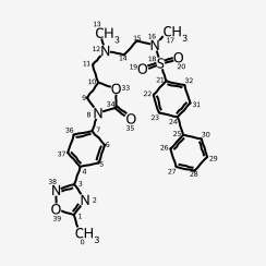 Cc1nc(-c2ccc(N3CC(CN(C)CCN(C)S(=O)(=O)c4ccc(-c5ccccc5)cc4)OC3=O)cc2)no1